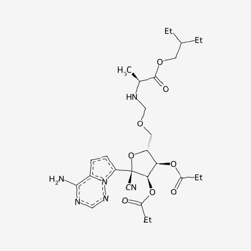 CCC(=O)O[C@H]1[C@@H](OC(=O)CC)[C@](C#N)(c2ccc3c(N)ncnn23)O[C@@H]1COCN[C@@H](C)C(=O)OCC(CC)CC